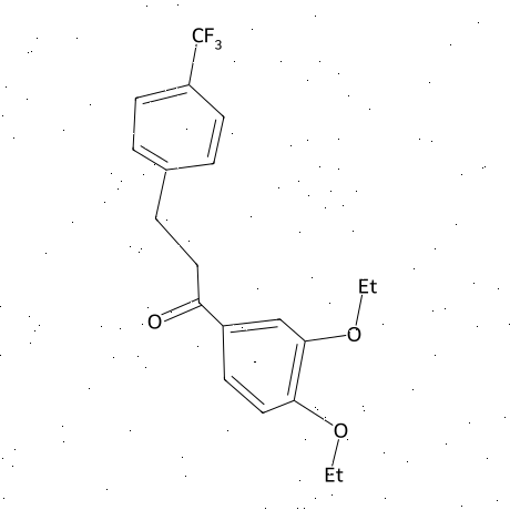 CCOc1ccc(C(=O)CCc2ccc(C(F)(F)F)cc2)cc1OCC